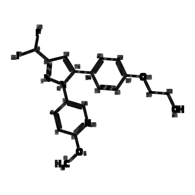 COc1ccc(-n2nc(C(F)F)cc2-c2ccc(OCCO)cc2)cn1